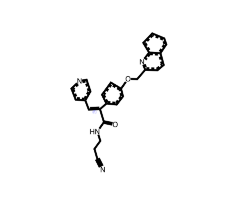 N#CCCNC(=O)/C(=C/c1ccncc1)c1ccc(OCc2ccc3ccccc3n2)cc1